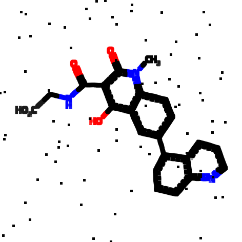 Cn1c(=O)c(C(=O)NCC(=O)O)c(O)c2cc(-c3cccc4ncccc34)ccc21